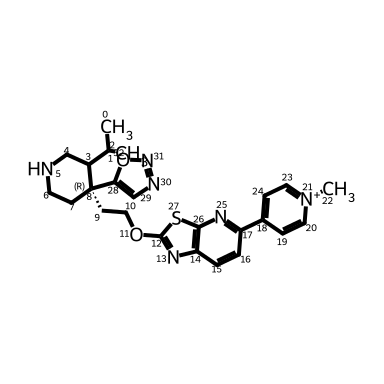 CC(C)C1CNCC[C@]1(CCOc1nc2ccc(-c3cc[n+](C)cc3)nc2s1)c1cnno1